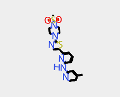 Cc1ccnc(Nc2cccc(-c3cnc(N4CCN(S(C)(=O)=O)CC4)s3)n2)c1